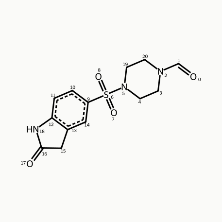 O=CN1CCN(S(=O)(=O)c2ccc3c(c2)CC(=O)N3)CC1